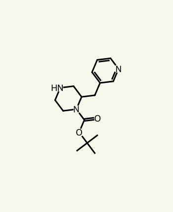 CC(C)(C)OC(=O)N1CCNCC1Cc1cccnc1